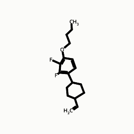 C=CC1CCC(c2ccc(OCCCC)c(F)c2F)CC1